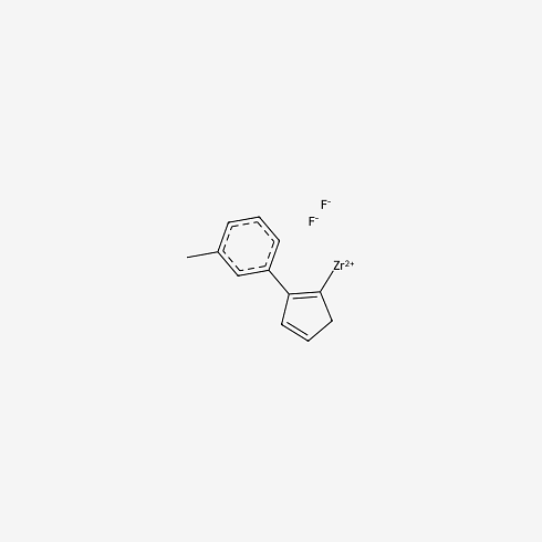 Cc1cccc(C2=[C]([Zr+2])CC=C2)c1.[F-].[F-]